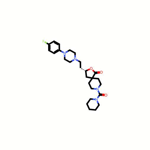 O=C(N1CCCCC1)N1CCC2(CC1)C[C@H](CCN1CCN(c3ccc(F)cc3)CC1)OC2=O